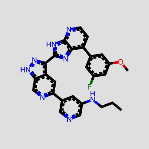 CCCNc1cncc(-c2cc3c(-c4nc5c(-c6cc(F)cc(OC)c6)ccnc5[nH]4)n[nH]c3cn2)c1